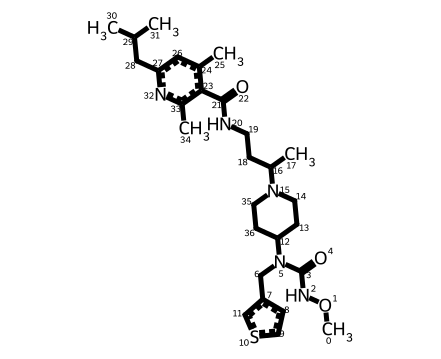 CONC(=O)N(Cc1ccsc1)C1CCN(C(C)CCNC(=O)c2c(C)cc(CC(C)C)nc2C)CC1